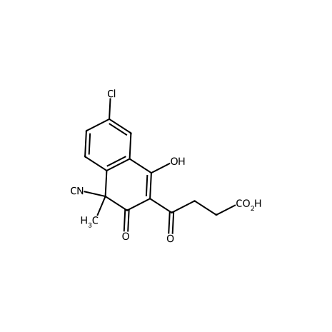 [C-]#[N+]C1(C)C(=O)C(C(=O)CCC(=O)O)=C(O)c2cc(Cl)ccc21